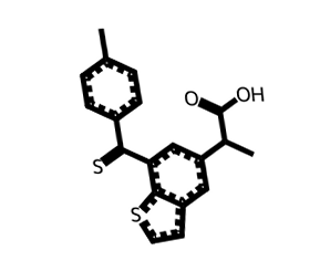 Cc1ccc(C(=S)c2cc(C(C)C(=O)O)cc3ccsc23)cc1